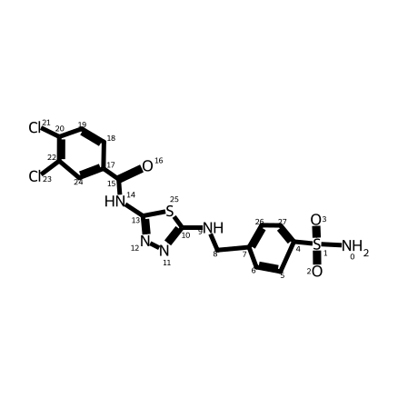 NS(=O)(=O)c1ccc(CNc2nnc(NC(=O)c3ccc(Cl)c(Cl)c3)s2)cc1